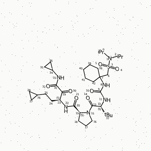 CC(C)N(C(C)C)S(=O)(=O)CC1(NC(=O)N[C@H](C(=O)N2CCC[C@H]2C(=O)N[C@@H](CCC2CC2)C(=O)C(=O)NC2CC2)C(C)(C)C)CCCCC1